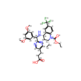 CCOC(=O)N1c2ccc(C(F)(F)F)cc2[C@@H](NC(c2cc(OC)cc(OC)c2)c2ncc(CCC(=O)O)cn2)C[C@H]1CC